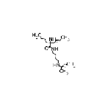 C=C=C(C)NCCCCNC(=O)C(N)(CCCC)CCCC